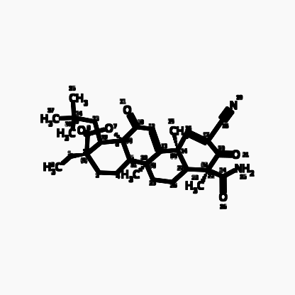 CC[C@@]12CCC3[C@](OC1=O)(C(=O)C=C1[C@@]4(C)C=C(C#N)C(=O)[C@@](C)(C(N)=O)C4CC[C@]13C)C2CC(C)(C)C